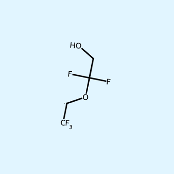 OCC(F)(F)O[CH]C(F)(F)F